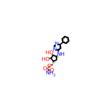 NS(=O)(=O)OC[C@H]1C[C@@H](Nc2cc(-c3ccccc3)ncn2)[C@H](O)[C@@H]1O